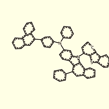 c1ccc(-c2cc3ccccc3c3c2c2ccc(N(c4ccccc4)c4ccc(-c5cc6ccccc6c6ccccc56)cc4)cc2n3-c2cccc3c2sc2ccccc23)cc1